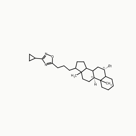 CC[C@H]1CC2C3CCC(CCCc4nc(C5CC5)no4)C3(C)CC[C@@H]2C2(C)CCCCC12